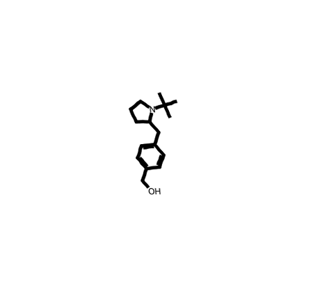 CC(C)(C)N1CCCC1Cc1ccc(CO)cc1